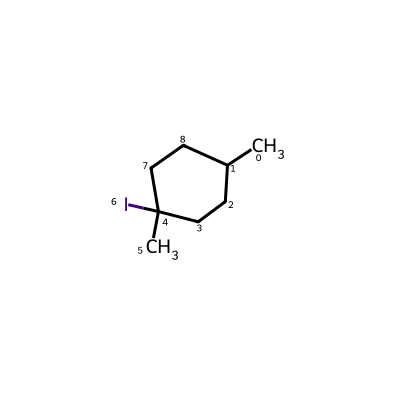 CC1CCC(C)(I)CC1